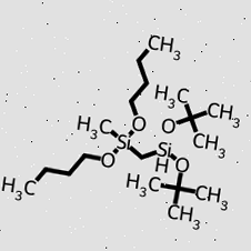 CCCCO[Si](C)(C[SiH](OC(C)(C)C)OC(C)(C)C)OCCCC